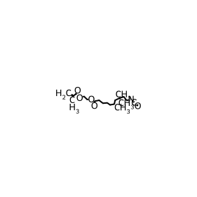 C=C(C)C(=O)OCCOC(=O)CCCCC(C)CC(C)(C)CCN=C=O